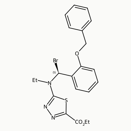 CCOC(=O)c1nnc(N(CC)[C@@H](Br)c2ccccc2OCc2ccccc2)s1